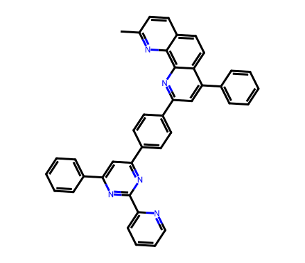 Cc1ccc2ccc3c(-c4ccccc4)cc(-c4ccc(-c5cc(-c6ccccc6)nc(-c6ccccn6)n5)cc4)nc3c2n1